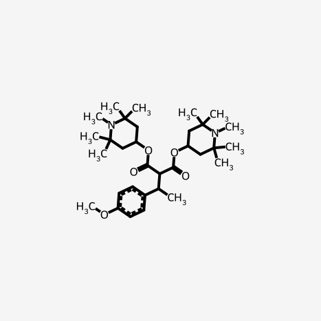 COc1ccc(C(C)C(C(=O)OC2CC(C)(C)N(C)C(C)(C)C2)C(=O)OC2CC(C)(C)N(C)C(C)(C)C2)cc1